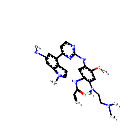 C=CC(=O)Nc1cc(Nc2nccc(-c3cc(NC)cc4c3ccn4C)n2)c(OC)cc1N(C)CCN(C)C